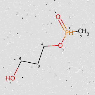 C[PH](=O)OCCCO